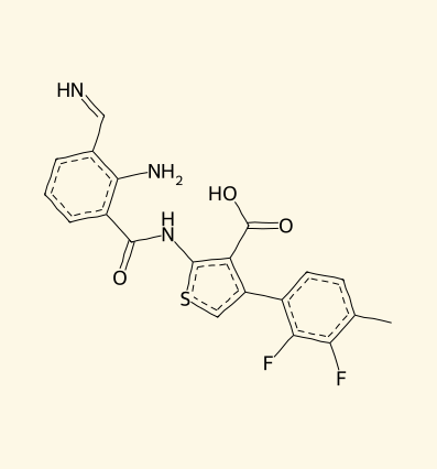 Cc1ccc(-c2csc(NC(=O)c3cccc(C=N)c3N)c2C(=O)O)c(F)c1F